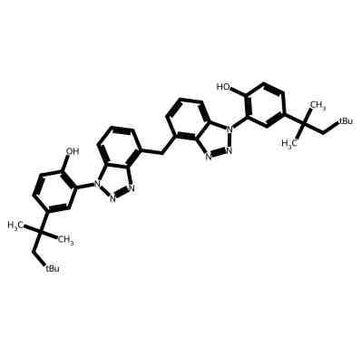 CC(C)(C)CC(C)(C)c1ccc(O)c(-n2nnc3c(Cc4cccc5c4nnn5-c4cc(C(C)(C)CC(C)(C)C)ccc4O)cccc32)c1